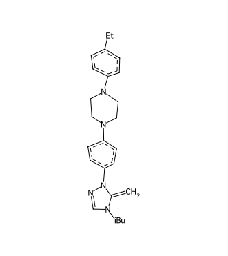 C=C1N(c2ccc(N3CCN(c4ccc(CC)cc4)CC3)cc2)N=CN1C(C)CC